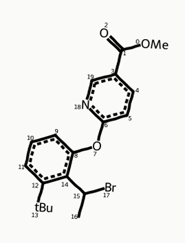 COC(=O)c1ccc(Oc2cccc(C(C)(C)C)c2C(C)Br)nc1